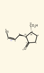 CC/C=C\C[C@@H]1C(=O)CC[C@H]1C(=O)O